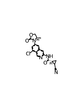 C[C@@H]1COC(=O)N1c1cc(Cl)c2cnc(NC(=O)[C@@H]3CC3C#N)cc2c1